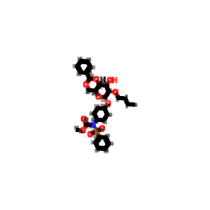 CCCCO[C@@H]1C(O)[C@@H]2OC(c3ccccc3)OCC2O[C@H]1OC1CCC(N(C(=O)OC)S(=O)(=O)c2ccccc2)CC1